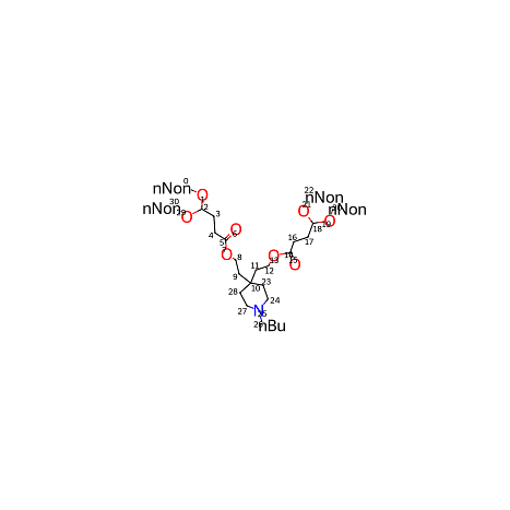 CCCCCCCCCOC(CCC(=O)OCCC1(CCOC(=O)CCC(OCCCCCCCCC)OCCCCCCCCC)CCN(CCCC)CC1)OCCCCCCCCC